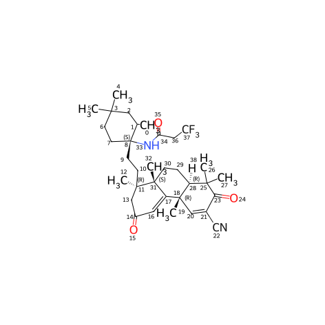 CC1CC(C)(C)CC[C@@]1(CC[C@]1(C)CC(=O)C=C2[C@@]3(C)C=C(C#N)C(=O)C(C)(C)[C@@H]3CC[C@]21C)NC(=O)CC(F)(F)F